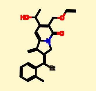 C=COCc1c(C(C)O)cc2n(c1=O)C/C(=C(\CC)c1ccccc1C)C2=C